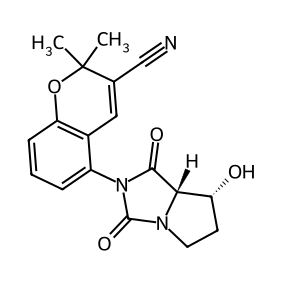 CC1(C)Oc2cccc(N3C(=O)[C@@H]4[C@H](O)CCN4C3=O)c2C=C1C#N